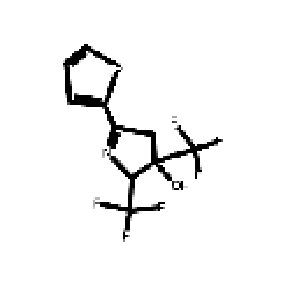 OC1(C(F)(F)F)CC(c2cccs2)=NC1C(F)(F)F